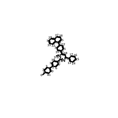 Cc1ccc(-c2ccc(C3N=C(c4ccccc4)C=C(c4ccc(-c5cccc6ccccc56)cc4)N3C)cc2)cc1